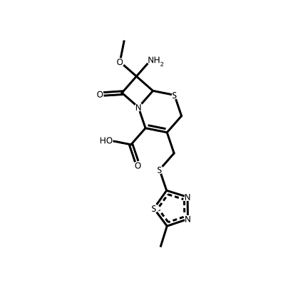 COC1(N)C(=O)N2C(C(=O)O)=C(CSc3nnc(C)s3)CSC21